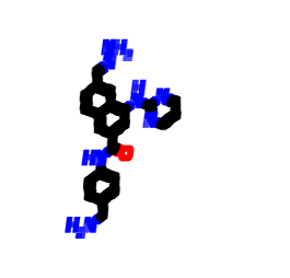 NCc1ccc(NC(=O)c2cc(Nc3ncccn3)c3cc(C=NN)ccc3c2)cc1